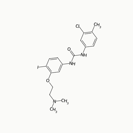 Cc1ccc(NC(=O)Nc2ccc(I)c(OCCN(C)C)c2)cc1Cl